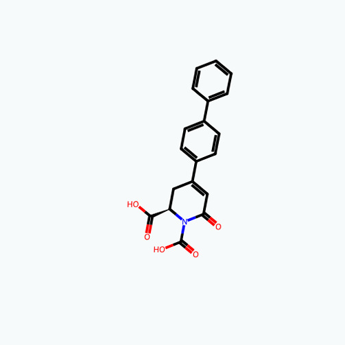 O=C(O)[C@H]1CC(c2ccc(-c3ccccc3)cc2)=CC(=O)N1C(=O)O